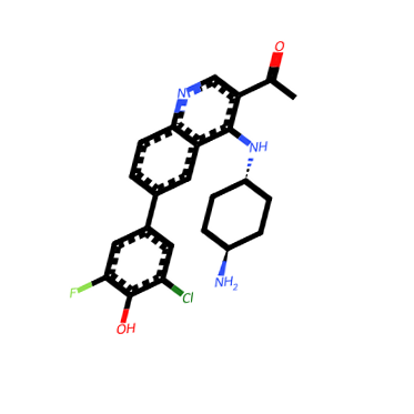 CC(=O)c1cnc2ccc(-c3cc(F)c(O)c(Cl)c3)cc2c1N[C@H]1CC[C@H](N)CC1